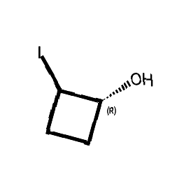 O[C@@H]1CCC1I